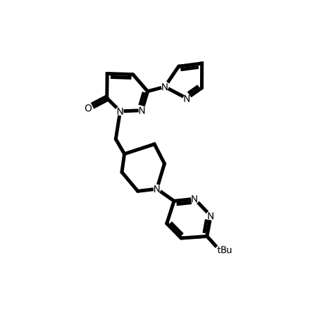 CC(C)(C)c1ccc(N2CCC(Cn3nc(-n4cccn4)ccc3=O)CC2)nn1